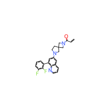 C=CC(=O)N1CC2(CCN(c3cc(-c4cccc(F)c4F)c4ncccc4c3)C2)C1